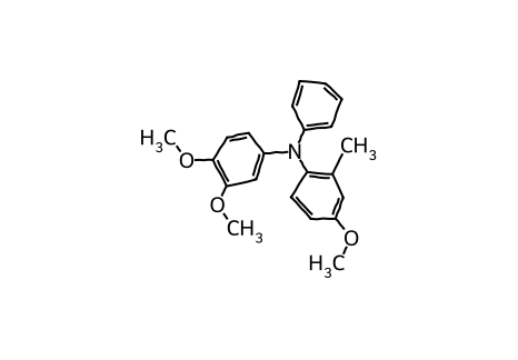 COc1ccc(N(c2ccccc2)c2ccc(OC)c(OC)c2)c(C)c1